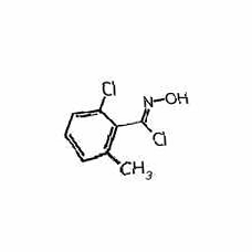 Cc1cccc(Cl)c1C(Cl)=NO